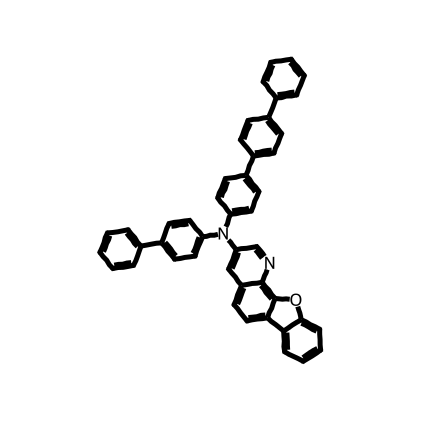 c1ccc(-c2ccc(-c3ccc(N(c4ccc(-c5ccccc5)cc4)c4cnc5c(ccc6c7ccccc7oc65)c4)cc3)cc2)cc1